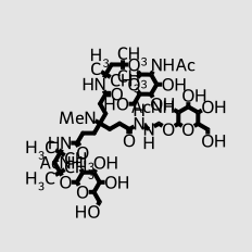 CNC(CCC(=O)NNCOC1OC(CO)C(O)C(O)C1NC(C)=O)(CCC(=O)NC(C)(C)CC(C)(C)OC1OC(CO)C(O)C(O)C1NC(C)=O)CCC(=O)NC(C)(C)CC(C)(C)OC1OC(CO)C(O)C(O)C1NC(C)=O